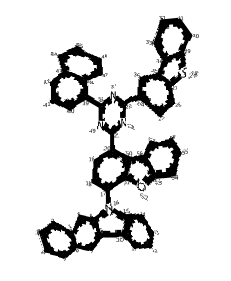 c1ccc2cc3c(cc2c1)c1ccccc1n3-c1ccc(-c2nc(-c3ccc4sc5ccccc5c4c3)nc(-c3cccc4ccccc34)n2)c2c1oc1ccccc12